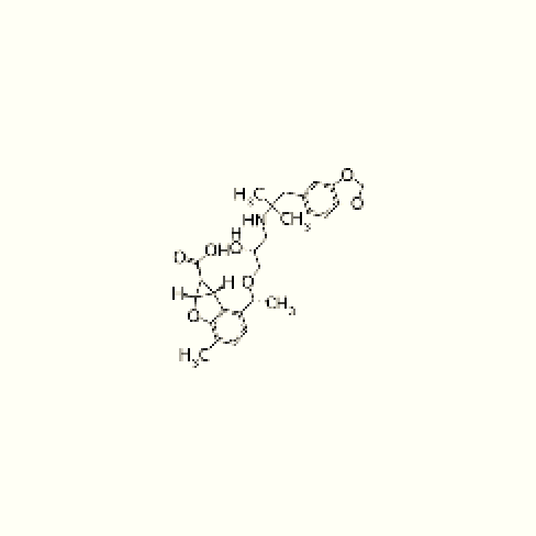 Cc1ccc([C@@H](C)OC[C@H](O)CNC(C)(C)Cc2ccc3c(c2)OCO3)c2c1O[C@@H]1[C@@H](C(=O)O)[C@H]21